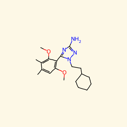 COc1cc(C)c(C)c(OC)c1-c1nc(N)nn1CCC1CCCCC1